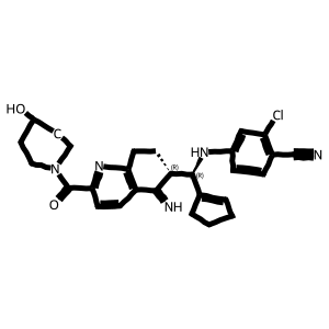 N#Cc1ccc(N[C@@H](C2=CCCC2)[C@H]2CCc3nc(C(=O)N4CCC(O)CC4)ccc3C2=N)cc1Cl